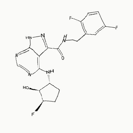 O=C(NCc1cc(F)ccc1F)c1n[nH]c2ncnc(N[C@@H]3CC[C@@H](F)[C@H]3O)c12